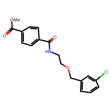 COC(=O)c1ccc(C(=O)NCCOCc2cccc(Cl)c2)cc1